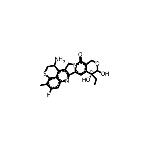 CC[C@]1(O)c2cc3n(c(=O)c2COC1O)Cc1c-3nc2cc(F)c(C)c3c2c1C(N)CS3